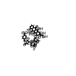 COc1cccc2c1C(=O)c1c(O)c3c(c(O)c1C2=O)C[C@@](O)(C(=O)CO)C[C@@H]3O[C@H]1C[C@H]2[C@H](O[C@@H]3[C@@H](OC)OCC(SC4CC(=O)N(CC5CCC(C(=O)O)CC5)C4=O)N32)[C@H](C)O1